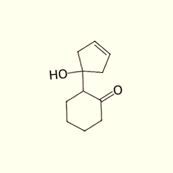 O=C1CCCCC1C1(O)CC=CC1